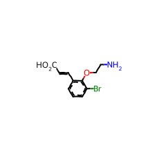 NCCOc1c(Br)cccc1/C=C/C(=O)O